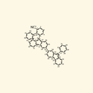 N#Cc1cccc(-n2c3ccccc3c3cc(-c4ccc5c6ccccc6n(-c6ccccc6)c5c4)ccc32)c1-c1ccccc1